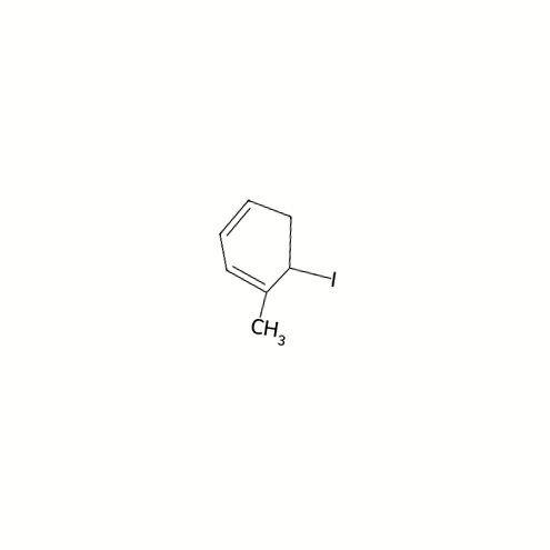 CC1=CC=CCC1I